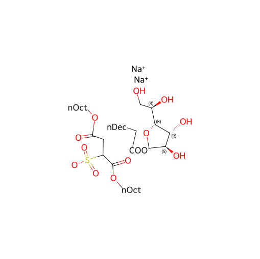 CCCCCCCCCCCC(=O)[O-].CCCCCCCCOC(=O)CC(C(=O)OCCCCCCCC)S(=O)(=O)[O-].OC[C@@H](O)[C@H]1OC[C@H](O)[C@H]1O.[Na+].[Na+]